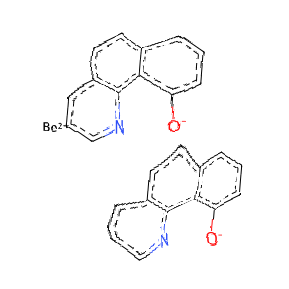 [Be+2].[O-]c1cccc2ccc3cccnc3c12.[O-]c1cccc2ccc3cccnc3c12